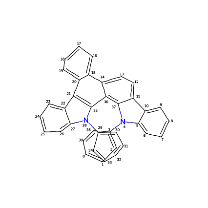 c1ccc(-n2c3ccccc3c3ccc4c5ccccc5c5c6ccccc6n(-c6ccccc6)c5c4c32)cc1